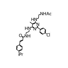 CC(=O)NCCNc1nc(-c2ccc(Cl)cc2)nc(NCCNC(=O)/C=C/c2ccc(C(C)C)cc2)c1C